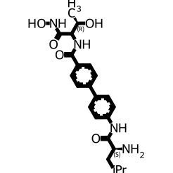 CC(C)C[C@H](N)C(=O)Nc1ccc(-c2ccc(C(=O)NC(C(=O)NO)[C@@H](C)O)cc2)cc1